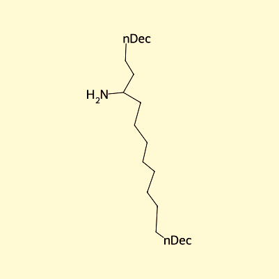 CCCCCCCCCCCCCCCCCCC(N)CCCCCCCCCCCC